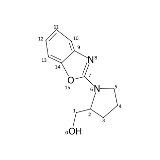 OCC1CCCN1c1nc2ccccc2o1